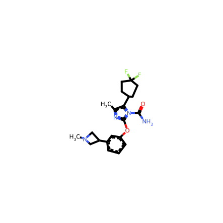 Cc1nc(Oc2cccc(C3CN(C)C3)c2)n(C(N)=O)c1C1CCC(F)(F)CC1